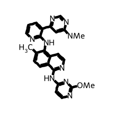 CNc1cc(-c2cccnc2Nc2c(C)ccc3c(Nc4ccnc(OC)n4)nccc23)ncn1